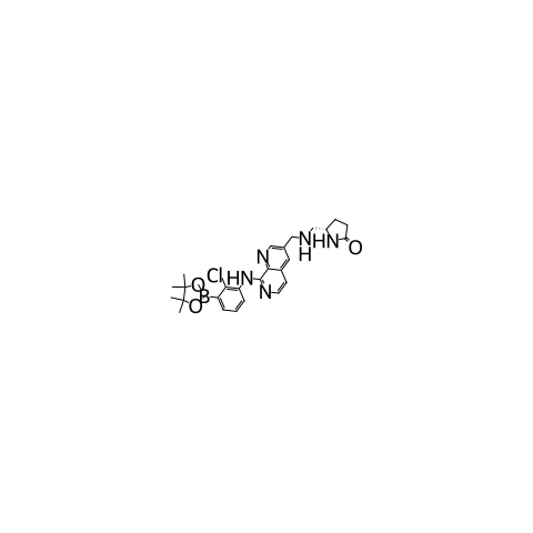 CC1(C)OB(c2cccc(Nc3nccc4cc(CNC[C@@H]5CCC(=O)N5)cnc34)c2Cl)OC1(C)C